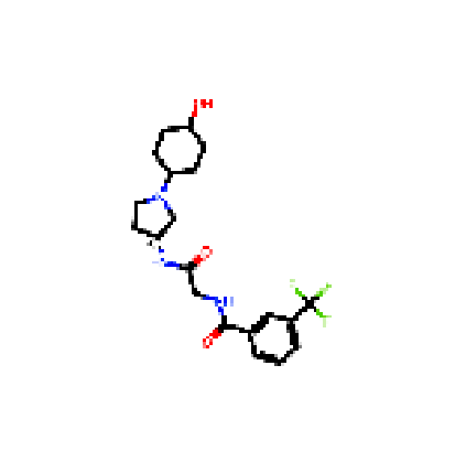 O=C(CNC(=O)c1cccc(C(F)(F)F)c1)N[C@@H]1CCN(C2CCC(O)CC2)C1